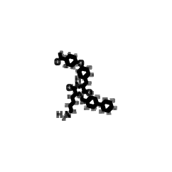 CC(=O)c1ccc(Oc2ccc(CC3NC(=O)C(CCCCN)N(Cc4ccc(-c5ccccc5)cc4)C3=O)cc2)cc1